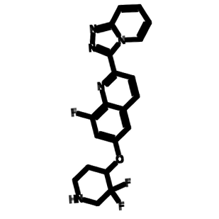 Fc1cc(OC2CCNCC2(F)F)cc2ccc(-c3nnc4ccccn34)nc12